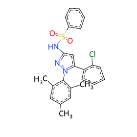 Cc1cc(C)c(-n2nc(NS(=O)(=O)c3ccccc3)cc2-c2ccccc2Cl)c(C)c1